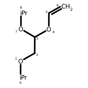 [CH2]C(C)OCC(OC=C)OC(C)C